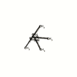 CCCCCCCCCCCCCCNC(=O)CCN(CCC(=O)NCCCCCCCCCCCCCC)CCN(CCC(=O)NCCCCCCCCCCCCCC)CCC(=O)NCCCCCCCCCCCCCC